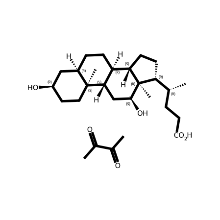 CC(=O)C(C)=O.C[C@H](CCC(=O)O)[C@H]1CC[C@H]2[C@@H]3CC[C@@H]4C[C@H](O)CC[C@]4(C)[C@H]3C[C@H](O)[C@]12C